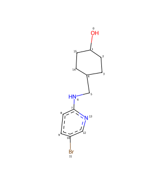 OC1CCC(CNc2ccc(Br)cn2)CC1